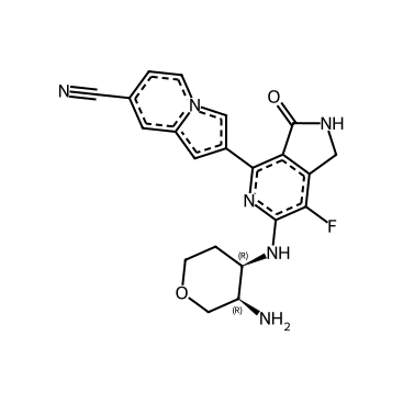 N#Cc1ccn2cc(-c3nc(N[C@@H]4CCOC[C@@H]4N)c(F)c4c3C(=O)NC4)cc2c1